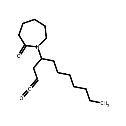 CCCCCCCC(CC=C=O)N1CCCCCC1=O